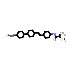 C=C(C)C(=O)NC1CCC(/C=C/C2CCC(C3CCC(CCCCC)CC3)CC2)CC1